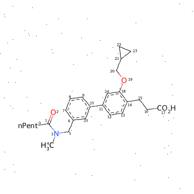 CCCCCC(=O)N(C)Cc1cccc(-c2ccc(CCC(=O)O)c(OCC3CC3)c2)c1